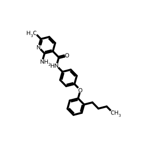 CCCCc1ccccc1Oc1ccc(NC(=O)c2ccc(C)nc2N)cc1